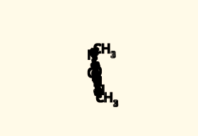 Cc1ccc(CCN2CCN(C(=O)Oc3ccc(CCc4cc(C)ccn4)cc3)CC2)nc1